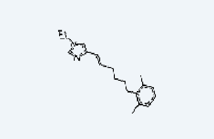 CCn1cnc(C=CCCCCc2c(C)cccc2C)c1